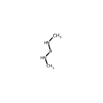 CN[B]NC